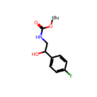 CC(C)(C)OC(=O)NCC(O)c1ccc(F)cc1